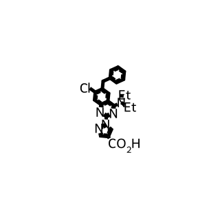 CCN(CC)c1nc(-n2cc(C(=O)O)cn2)nc2cc(Cl)c(Cc3ccccc3)cc12